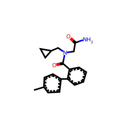 Cc1ccc(-c2ccccc2C(=O)N(CC(N)=O)CC2CC2)cc1